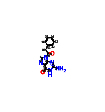 Nc1nc2c(ncn2C(=O)Cc2ccccc2)c(=O)[nH]1